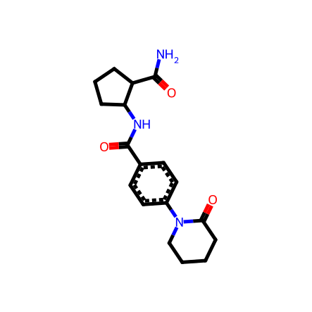 NC(=O)C1CCCC1NC(=O)c1ccc(N2CCCCC2=O)cc1